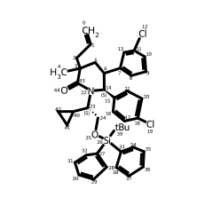 C=CCC1(C)CC(c2cccc(Cl)c2)[C@@H](c2ccc(Cl)cc2)N([C@H](CO[Si](c2ccccc2)(c2ccccc2)C(C)(C)C)C2CC2)C1=O